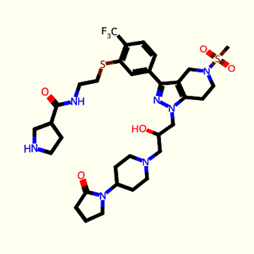 CS(=O)(=O)N1CCc2c(c(-c3ccc(C(F)(F)F)c(SCCNC(=O)C4CCNC4)c3)nn2CC(O)CN2CCC(N3CCCC3=O)CC2)C1